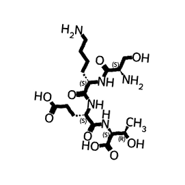 C[C@@H](O)[C@H](NC(=O)[C@H](CCC(=O)O)NC(=O)[C@H](CCCCN)NC(=O)[C@@H](N)CO)C(=O)O